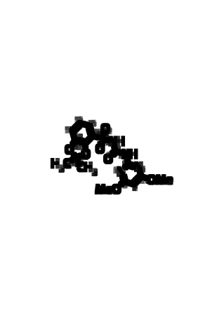 COc1cc(OC)nc(NC(=O)NS(=O)(=O)c2cccc3c2OC(C)(C)O3)n1